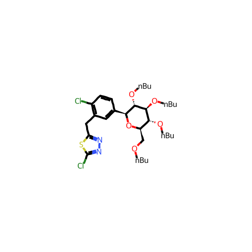 CCCCOC[C@H]1O[C@@H](c2ccc(Cl)c(Cc3nnc(Cl)s3)c2)[C@H](OCCCC)[C@@H](OCCCC)[C@@H]1OCCCC